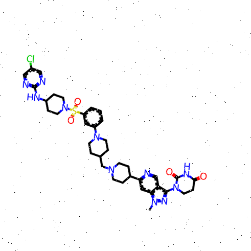 Cn1nc(N2CCC(=O)NC2=O)c2cnc(C3CCN(CC4CCN(c5cccc(S(=O)(=O)N6CCC(Nc7ncc(Cl)cn7)CC6)c5)CC4)CC3)cc21